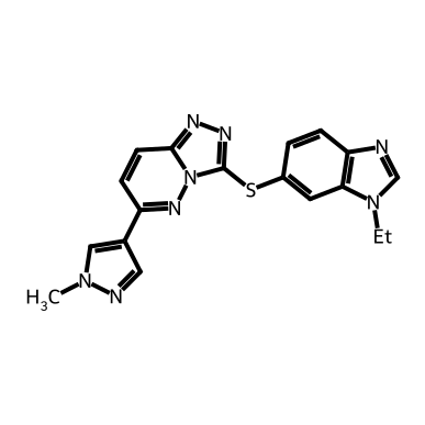 CCn1cnc2ccc(Sc3nnc4ccc(-c5cnn(C)c5)nn34)cc21